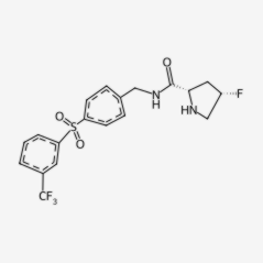 O=C(NCc1ccc(S(=O)(=O)c2cccc(C(F)(F)F)c2)cc1)[C@@H]1C[C@H](F)CN1